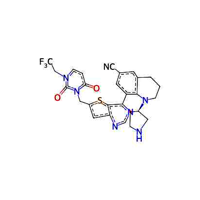 N#Cc1cc2c(c(-c3ncnc4cc(Cn5c(=O)ccn(CC(F)(F)F)c5=O)sc34)c1)N([C@@H]1CCNC1)CCC2